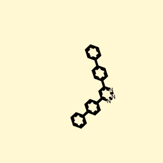 c1ccc(-c2ccc(-c3cc(-c4ccc(-c5ccccc5)cc4)nnn3)cc2)cc1